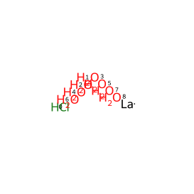 Cl.O.O.O.O.O.O.O.[La]